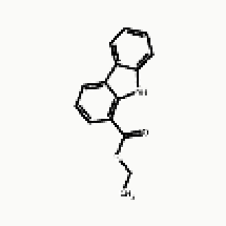 CCOC(=O)c1cccc2c1[nH]c1ccccc12